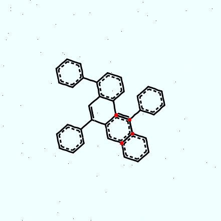 C(=C(c1ccccc1)c1ccccc1)c1cccc(-c2ccccc2)c1C=C(c1ccccc1)c1ccccc1